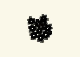 c1ccc(-c2nc(-c3ccccc3)nc(-c3cc(-c4c(-c5ccccc5)cccc4-c4ccccc4)ccc3-n3c4ccccc4c4ccc5oc6ccccc6c5c43)n2)cc1